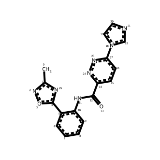 Cc1noc(-c2ccccc2NC(=O)c2ccc(-n3ccnc3)nn2)n1